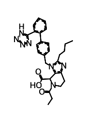 CCCCc1nc2c(n1Cc1ccc(-c3ccccc3-c3nnn[nH]3)cc1)C(C(=O)O)N(C(=O)CC)CC2